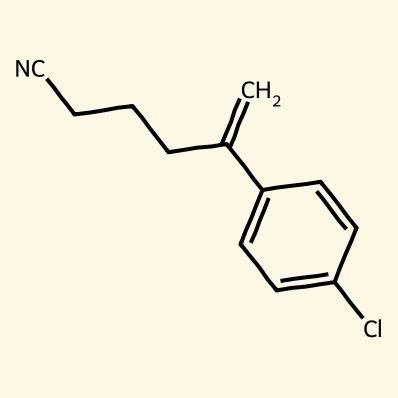 C=C(CCCC#N)c1ccc(Cl)cc1